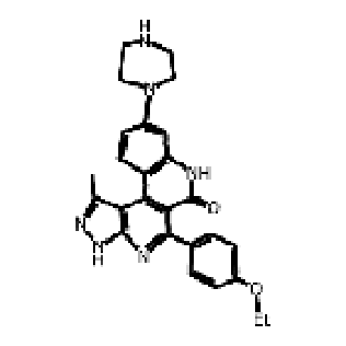 CCOc1ccc(-c2nc3[nH]nc(C)c3c3c2c(=O)[nH]c2cc(N4CCNCC4)ccc23)cc1